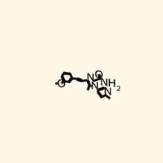 COc1cccc(C#Cc2nc(C(N)=O)n(-c3ccc(C)nc3)c2C)c1